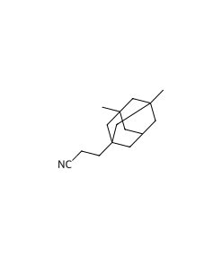 CC12CC3CC(C)(C1)CC(CCC#N)(C3)C2